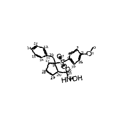 COc1ccc(S(=O)(=O)C2(Cc3ccccc3)CCCC2C(=O)NO)cc1